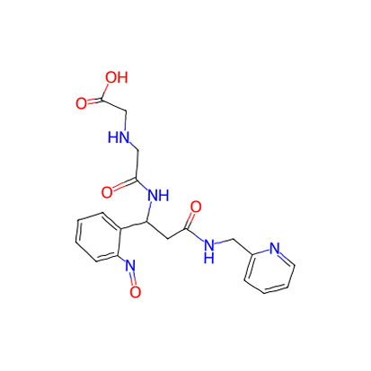 O=Nc1ccccc1C(CC(=O)NCc1ccccn1)NC(=O)CNCC(=O)O